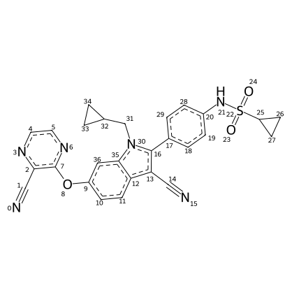 N#Cc1nccnc1Oc1ccc2c(C#N)c(-c3ccc(NS(=O)(=O)C4CC4)cc3)n(CC3CC3)c2c1